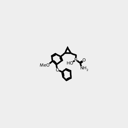 COc1ccc(C2CC2CN(O)C(N)=O)cc1Oc1ccccc1